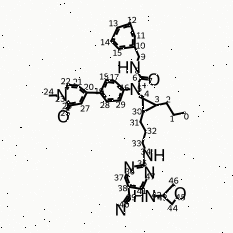 CCCC1/C(=[N+](\C(=O)NCc2ccccc2)c2ccc(-c3ccn(C)c(=O)c3)cc2)C1CCCNc1ncc(C#N)c(NC2COC2)n1